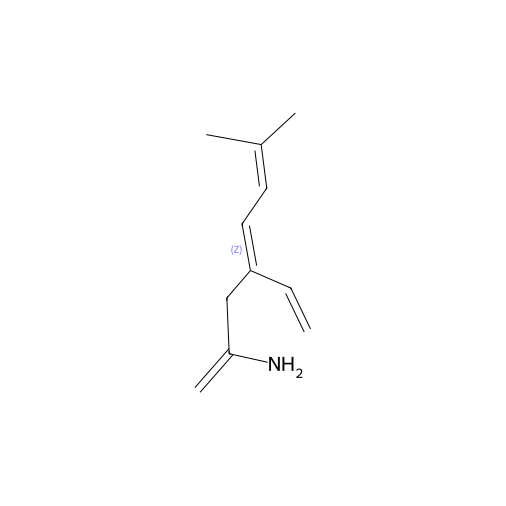 C=C/C(=C\C=C(C)C)CC(=C)N